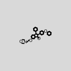 O=C1C(c2ccc(Oc3ccccc3)cc2)=C(c2ccccc2)c2ccc(OCCN3CCOCC3)cc21